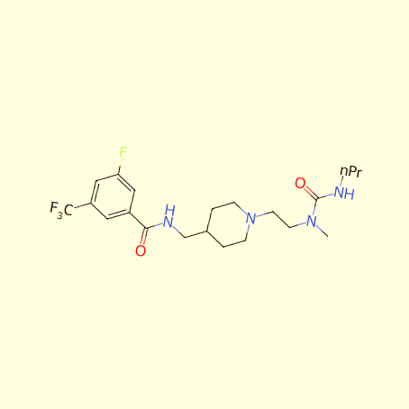 CCCNC(=O)N(C)CCN1CCC(CNC(=O)c2cc(F)cc(C(F)(F)F)c2)CC1